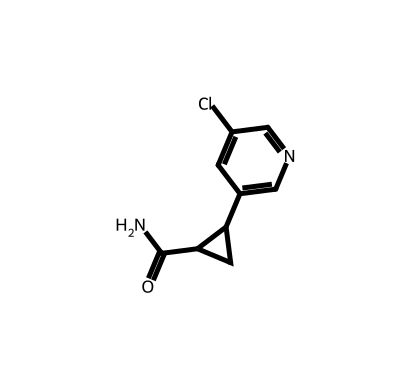 NC(=O)C1CC1c1cncc(Cl)c1